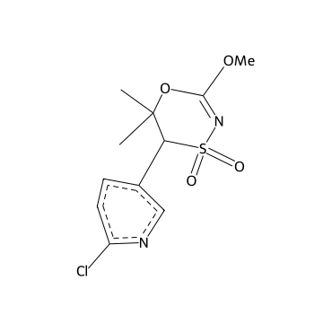 COC1=NS(=O)(=O)C(c2ccc(Cl)nc2)C(C)(C)O1